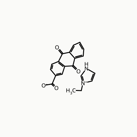 CC[n+]1cc[nH]c1.O=C([O-])c1ccc2c(c1)C(=O)c1ccccc1C2=O